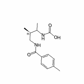 Cc1ccc(C(=O)NC[C@@H](C)C(C)NC(=O)O)cc1